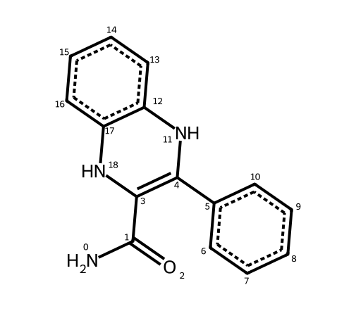 NC(=O)C1=C(c2ccccc2)Nc2ccccc2N1